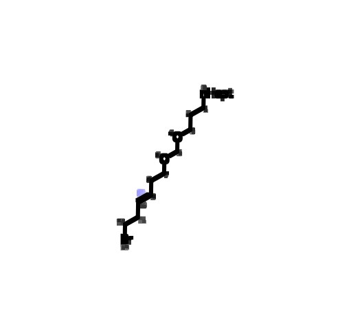 CCCCCCCCCCOCOCC/C=C/CCBr